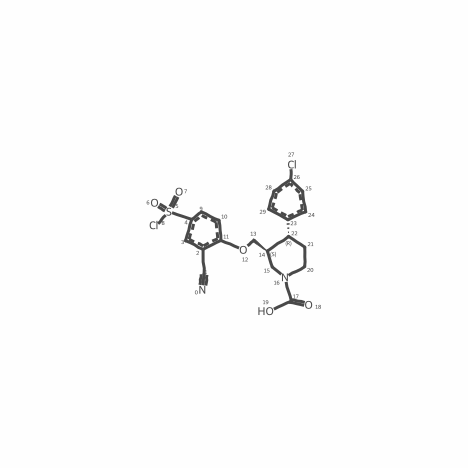 N#Cc1cc(S(=O)(=O)Cl)ccc1OC[C@@H]1CN(C(=O)O)CC[C@H]1c1ccc(Cl)cc1